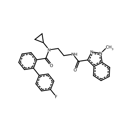 Cn1nc(C(=O)NCCN(C(=O)c2ccccc2-c2ccc(F)cc2)C2CC2)c2ccccc21